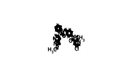 CCn1cc2cc(-n3c(=O)n(CC4CCC(NC(=O)c5cc(Cl)cnc5C)CC4)c4ccccc43)cnc2n1